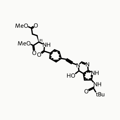 COC(=O)CC[C@@H](NC(=O)c1ccc(C#CN2C=Nc3[nH]c(NC(=O)C(C)(C)C)cc3C2O)cc1)C(=O)OC